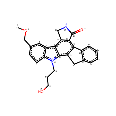 CCOCc1ccc2c(c1)c1c3c(c4c(c1n2CCCO)Cc1ccccc1-4)C(=O)NC3